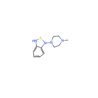 CN1CCN(N2SNc3ccccc32)CC1